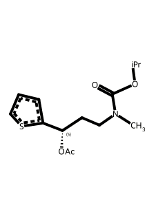 CC(=O)O[C@@H](CCN(C)C(=O)OC(C)C)c1cccs1